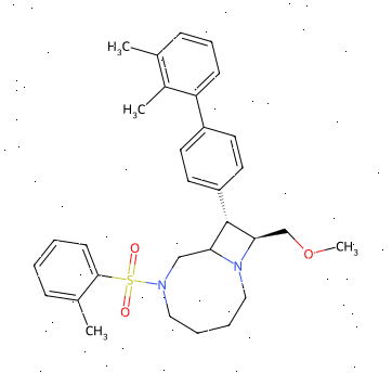 COC[C@@H]1[C@@H](c2ccc(-c3cccc(C)c3C)cc2)C2CN(S(=O)(=O)c3ccccc3C)CCCCN21